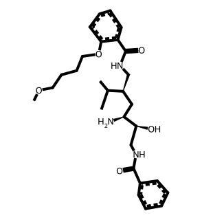 COCCCCOc1ccccc1C(=O)NC[C@@H](C[C@H](N)[C@@H](O)CNC(=O)c1ccccc1)C(C)C